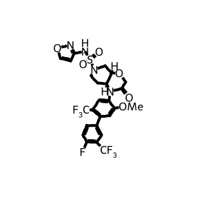 COc1cc(-c2ccc(F)c(C(F)(F)F)c2)c(C(F)(F)F)cc1N1C(=O)CO[C@H]2CN(S(=O)(=O)Nc3ccon3)CC[C@@H]21